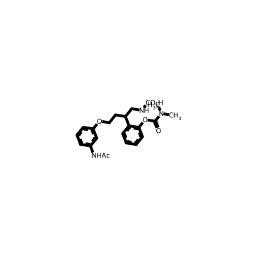 CC(=O)Nc1cccc(OCCC(CNC(=O)O)c2ccccc2OC(=O)N(C)C)c1